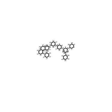 c1ccc(-c2cc(-c3ccc(-c4cccc(-c5cc(-c6ccccc6)c6c(ccc7ccccc76)n5)c4)cc3)nc(-c3ccccc3)n2)cc1